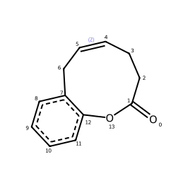 O=C1CC/C=C\Cc2ccccc2O1